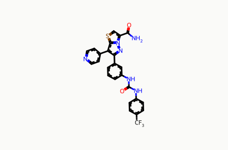 NC(=O)c1csc2c(-c3ccncc3)c(-c3cccc(NC(=O)Nc4ccc(C(F)(F)F)cc4)c3)nn12